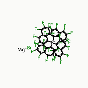 Fc1c(F)c(F)c2c([B-](c3c(F)c(F)c(F)c4c(F)c(F)c(F)c(F)c34)(c3c(F)c(F)c(F)c4c(F)c(F)c(F)c(F)c34)c3c(F)c(F)c(F)c4c(F)c(F)c(F)c(F)c34)c(F)c(F)c(F)c2c1F.[Mg+][Br]